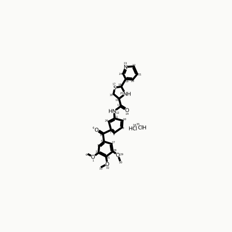 COc1cc(C(=O)c2cccc(NC(=O)C3CSC(c4cccnc4)N3)c2)cc(OC)c1OC.Cl.Cl